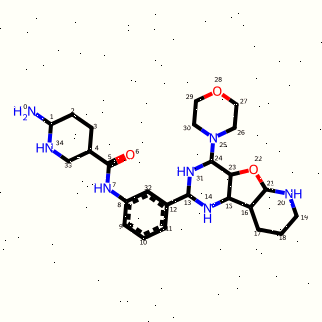 NC1CCC(C(=O)Nc2cccc(C3NC4C5CCCNC5OC4C(N4CCOCC4)N3)c2)CN1